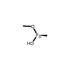 CO[P@@](C)O